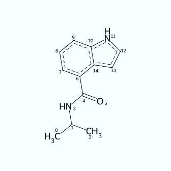 CC(C)NC(=O)c1cccc2[nH]ccc12